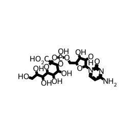 Nc1ccn(C2OC(COP(=O)(O)OC3(C(=O)O)CC(O)C(O)C(C(O)C(O)CO)O3)C(O)C2O)c(=O)n1